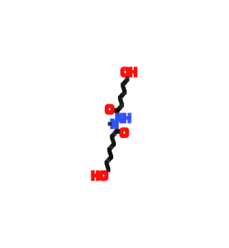 O=C(CCCCCCO)[N]NC(=O)CCCCCO